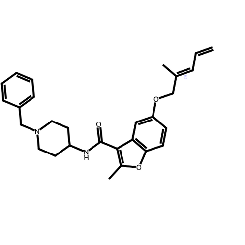 C=C/C=C(\C)COc1ccc2oc(C)c(C(=O)NC3CCN(Cc4ccccc4)CC3)c2c1